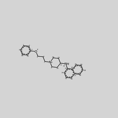 c1ccc(OCCCN2CCC(Nc3cccc4ccccc34)CC2)cc1